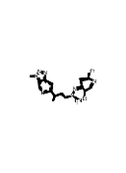 CCC1C=NC(C(C)C)=C/C1=N/N(N)CCC(C)c1cc2nnn(C)c2cn1